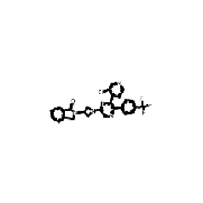 O=C1c2ccccc2CN1C1CN(c2cnc(-c3ccc(C(F)(F)F)cc3)c(-c3ccncc3Cl)n2)C1